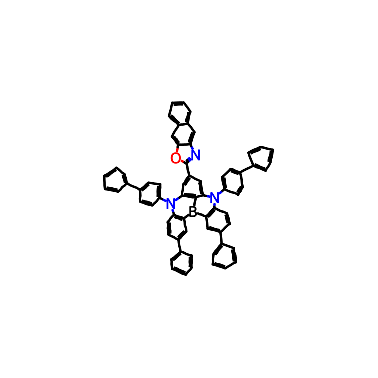 c1ccc(-c2ccc(N3c4ccc(-c5ccccc5)cc4B4c5cc(-c6ccccc6)ccc5N(c5ccc(-c6ccccc6)cc5)c5cc(-c6nc7cc8ccccc8cc7o6)cc3c54)cc2)cc1